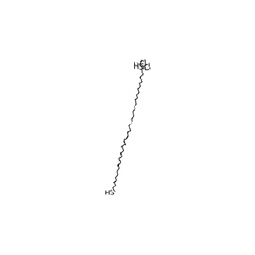 SCCCCCCCCCCCCCCCCCCCCCCCCCCCCCCCCCCCCCCCC[SiH](Cl)Cl